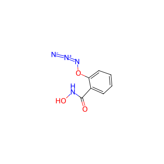 [N-]=[N+]=NOc1ccccc1C(=O)NO